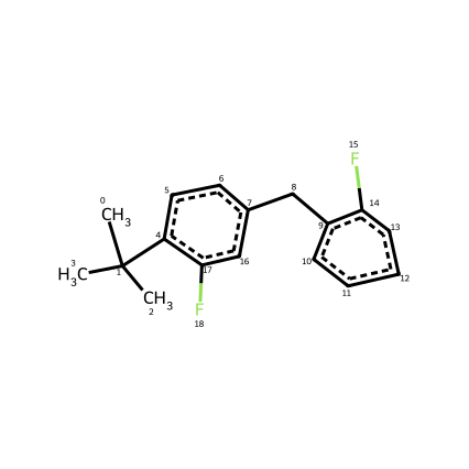 CC(C)(C)c1ccc(Cc2ccccc2F)cc1F